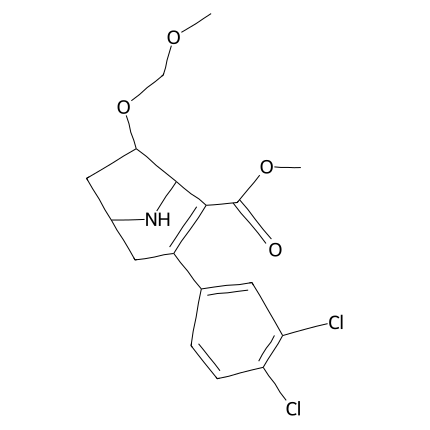 COCOC1CC2CC(c3ccc(Cl)c(Cl)c3)=C(C(=O)OC)C1N2